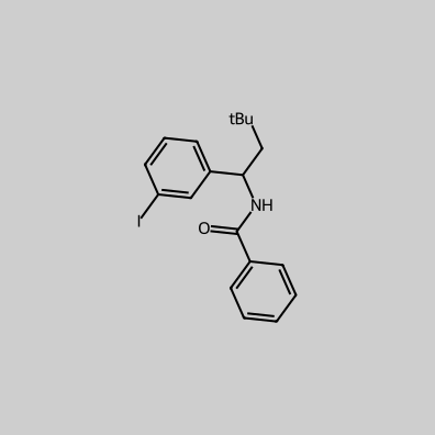 CC(C)(C)CC(NC(=O)c1ccccc1)c1cccc(I)c1